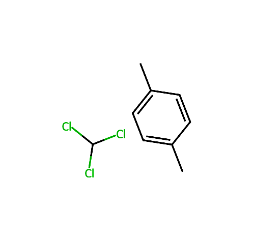 Cc1ccc(C)cc1.ClC(Cl)Cl